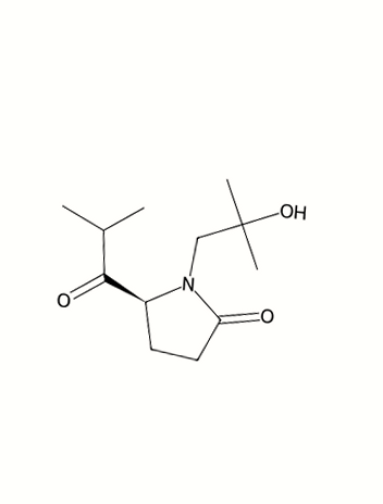 CC(C)C(=O)[C@@H]1CCC(=O)N1CC(C)(C)O